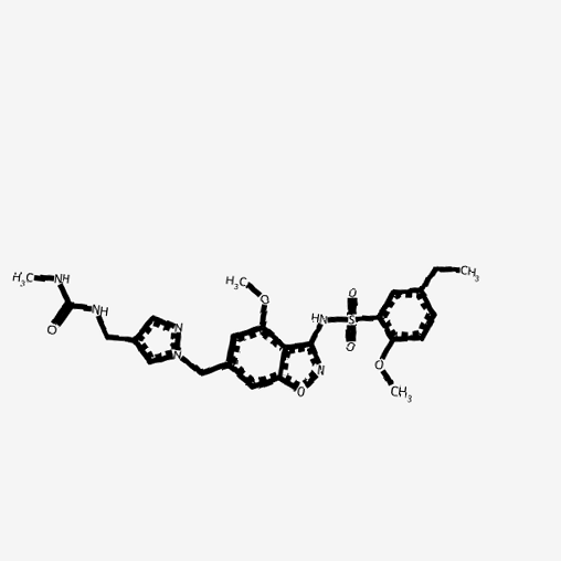 CCc1ccc(OC)c(S(=O)(=O)Nc2noc3cc(Cn4cc(CNC(=O)NC)cn4)cc(OC)c23)c1